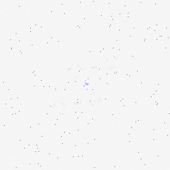 C(#Cc1ccccc1N=Nc1ccccc1C#Cc1ccccc1)c1ccccc1